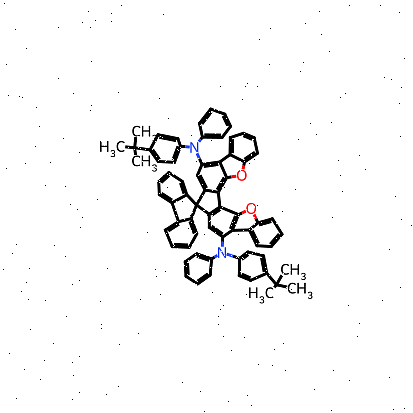 CC(C)(C)c1ccc(N(c2ccccc2)c2cc3c(c4oc5ccccc5c24)-c2c(cc(N(c4ccccc4)c4ccc(C(C)(C)C)cc4)c4c2oc2ccccc24)C32c3ccccc3-c3ccccc32)cc1